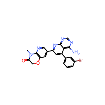 CN1C(=O)COc2cc(-c3cc(-c4cccc(Br)c4)c4c(N)ncnc4n3)cnc21